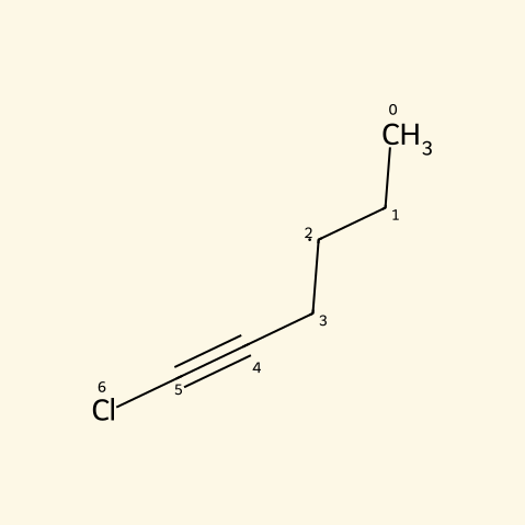 CC[CH]CC#CCl